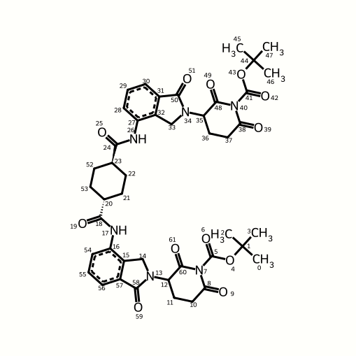 CC(C)(C)OC(=O)N1C(=O)CCC(N2Cc3c(NC(=O)[C@H]4CC[C@H](C(=O)Nc5cccc6c5CN(C5CCC(=O)N(C(=O)OC(C)(C)C)C5=O)C6=O)CC4)cccc3C2=O)C1=O